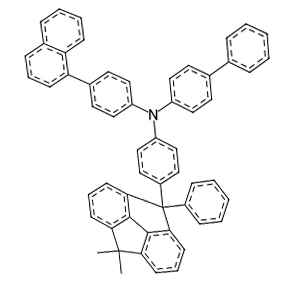 CC1(C)c2cccc3c2-c2c1cccc2C3(c1ccccc1)c1ccc(N(c2ccc(-c3ccccc3)cc2)c2ccc(-c3cccc4ccccc34)cc2)cc1